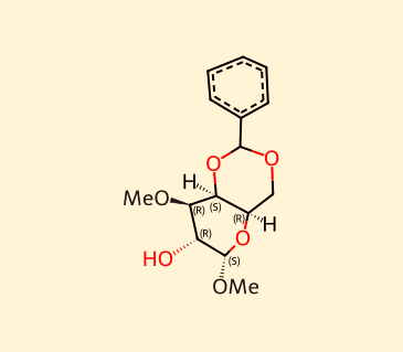 CO[C@H]1O[C@@H]2COC(c3ccccc3)O[C@@H]2[C@H](OC)[C@H]1O